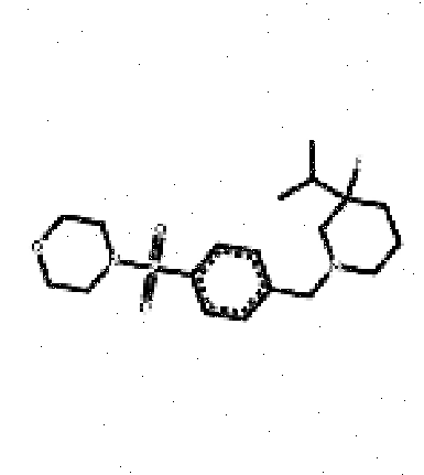 CC(C)C1(F)CCCN(Cc2ccc(S(=O)(=O)N3CCOCC3)cc2)C1